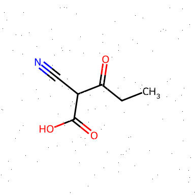 CCC(=O)C(C#N)C(=O)O